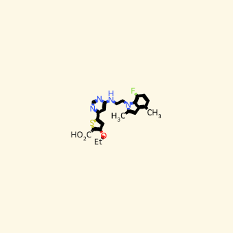 CCOc1cc(-c2cc(NCCn3c(C)cc4c(C)ccc(F)c43)ncn2)sc1C(=O)O